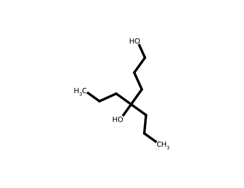 CCCC(O)(CCC)CCCO